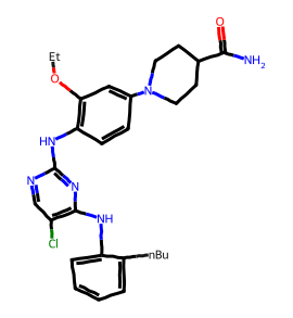 CCCCc1ccccc1Nc1nc(Nc2ccc(N3CCC(C(N)=O)CC3)cc2OCC)ncc1Cl